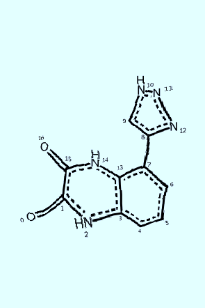 O=c1[nH]c2cccc(-c3c[nH]nn3)c2[nH]c1=O